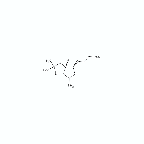 CC(=O)OCCO[C@H]1CC(N)C2OC(C)(C)O[C@@H]21